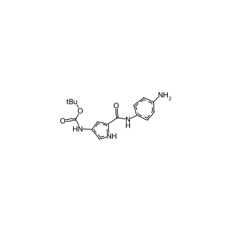 CC(C)(C)OC(=O)Nc1c[nH]c(C(=O)Nc2ccc(N)cc2)c1